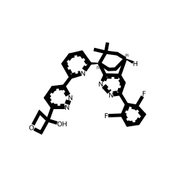 CC1(C)C[C@H]2CC[C@]1(c1cccc(-c3ccc(C4(O)COC4)nn3)n1)c1nnc(-c3c(F)cccc3F)cc12